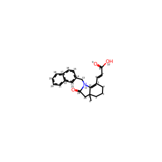 CC12CCCC(C=CC(=O)O)=C1N(Cc1ccc3ccccc3c1)C(=O)C2